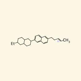 C/C=C/CCc1ccc2cc(C3CCC4CC(CC)CCC4C3)ccc2c1